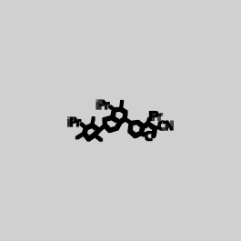 Cc1cc(C)c(C(C)C)c(C)c1-c1ccc2c(-c3ccc4ccc(C#N)c(C(C)C)c4c3)cc(C)c(C(C)C)c2c1